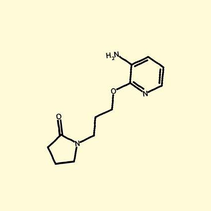 Nc1cccnc1OCCCN1CCCC1=O